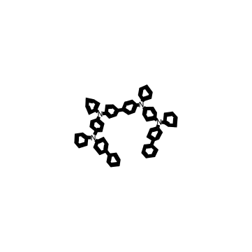 c1ccc(-c2ccc(N(c3ccccc3)c3ccc(N(c4ccccc4)c4ccc(-c5ccc(N(c6ccccc6)c6ccc(N(c7ccccc7)c7ccc(-c8ccccc8)cc7)cc6)cc5)cc4)cc3)cc2)cc1